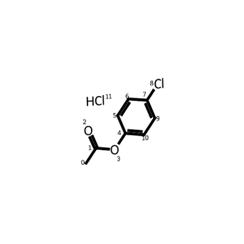 CC(=O)Oc1ccc(Cl)cc1.Cl